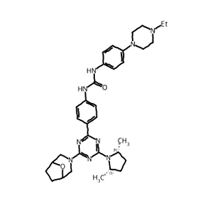 CCN1CCN(c2ccc(NC(=O)Nc3ccc(-c4nc(N5CC6CCC(C5)O6)nc(N5[C@H](C)CC[C@@H]5C)n4)cc3)cc2)CC1